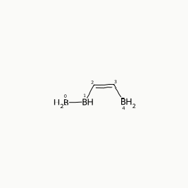 BB/C=C\B